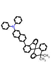 CC1(C)c2ccccc2C2(c3ccccc3-c3c(-c4ccc5cc(N(c6ccccc6)c6ccccc6)ccc5c4)cccc32)c2ccccc21